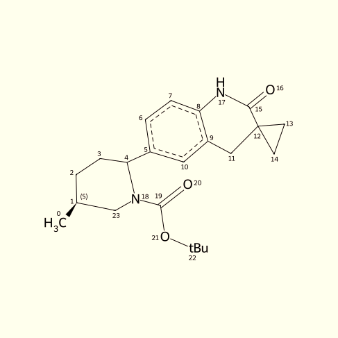 C[C@H]1CCC(c2ccc3c(c2)CC2(CC2)C(=O)N3)N(C(=O)OC(C)(C)C)C1